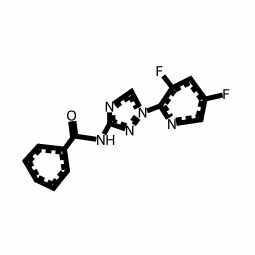 O=C(Nc1ncn(-c2ncc(F)cc2F)n1)c1ccccc1